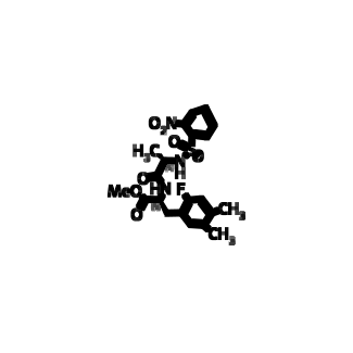 COC(=O)[C@H](Cc1cc(C)c(C)cc1F)NC(=O)[C@H](C)NS(=O)(=O)c1ccccc1[N+](=O)[O-]